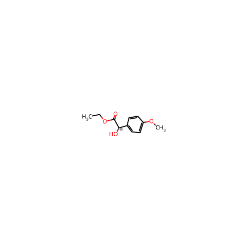 CCOC(=O)[C@H](O)c1ccc(OC)cc1